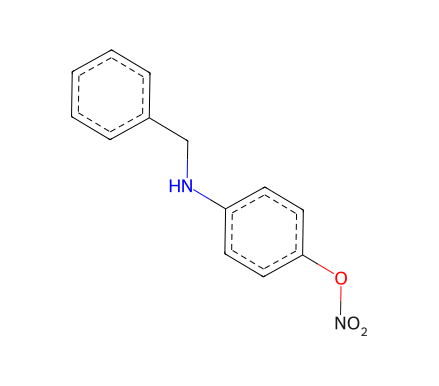 O=[N+]([O-])Oc1ccc(NCc2ccccc2)cc1